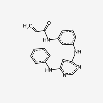 C=CC(=O)Nc1cccc(Nc2cc(Nc3ccccc3)ncn2)c1